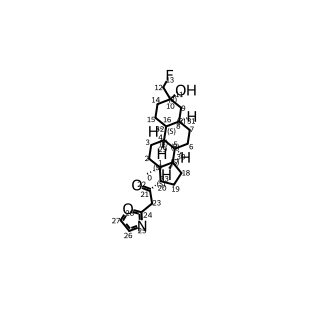 C[C@]12CC[C@H]3[C@@H](CC[C@@H]4C[C@@](O)(CF)CC[C@@H]43)[C@@H]1CC[C@@H]2C(=O)Cc1ncco1